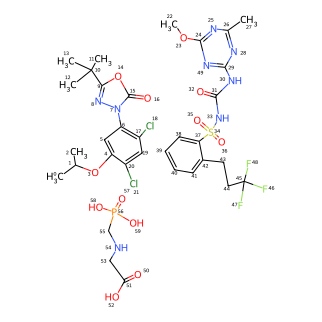 CC(C)Oc1cc(-n2nc(C(C)(C)C)oc2=O)c(Cl)cc1Cl.COc1nc(C)nc(NC(=O)NS(=O)(=O)c2ccccc2CCC(F)(F)F)n1.O=C(O)CNCP(=O)(O)O